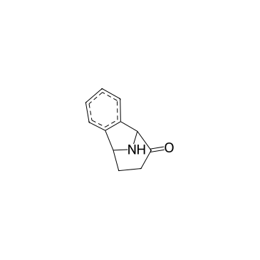 O=C1CCC2NC1c1ccccc12